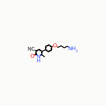 Cc1[nH]c(=O)c(C#N)cc1-c1ccc(OCCCCN)cc1